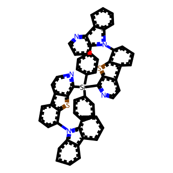 c1ccc([Si](c2ccccc2)(c2nccc3c2sc2c(-n4c5ccccc5c5ccccc54)cccc23)c2nccc3c2sc2c(-n4c5ccccc5c5ncccc54)cccc23)cc1